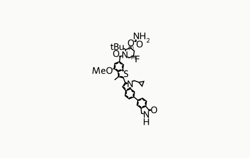 COc1cc(C(=O)N2C[C@H](F)C[C@@H](OC(N)=O)C2C(C)(C)C)cc2sc(-c3cc4ccc(-c5ccc6c(c5)CNC6=O)cc4n3CC3CC3)c(C)c12